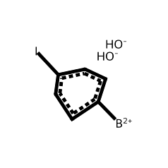 [B+2]c1ccc(I)cc1.[OH-].[OH-]